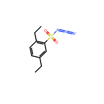 CCc1ccc(CC)c(S(=O)(=O)N=[N+]=[N-])c1